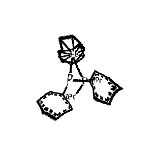 CC(C)P(C(C)C)[C]12[CH]3[CH]4[CH]5[CH]1[Fe]45321678[CH]2[CH]1[CH]6[C]7(P(c1ccccc1)c1ccccc1)[CH]28